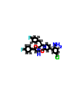 Nc1ccc(Cl)cc1-c1ccn(C(Cc2ccc(F)cc2)C2NC=C(c3ccc(F)cc3)O2)c(=O)c1